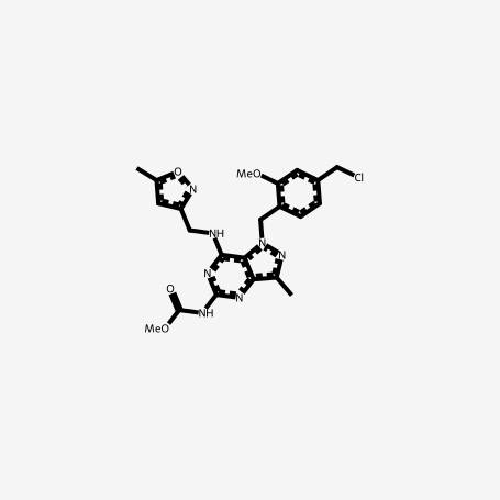 COC(=O)Nc1nc(NCc2cc(C)on2)c2c(n1)c(C)nn2Cc1ccc(CCl)cc1OC